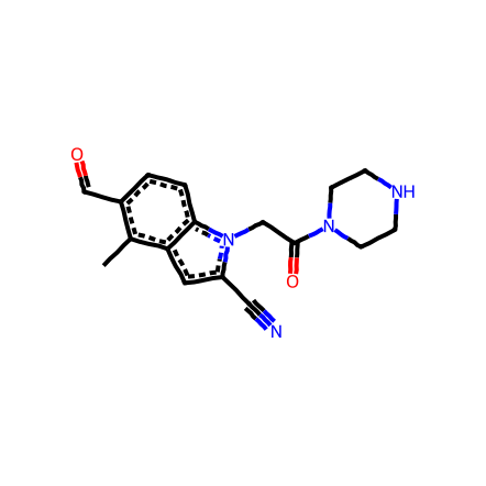 Cc1c(C=O)ccc2c1cc(C#N)n2CC(=O)N1CCNCC1